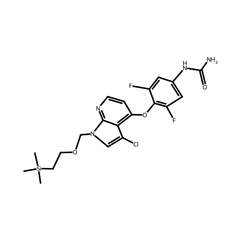 C[Si](C)(C)CCOCn1cc(Cl)c2c(Oc3c(F)cc(NC(N)=O)cc3F)ccnc21